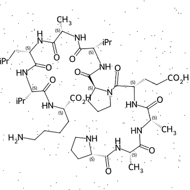 CC(C)C[C@H](NC(=O)[C@H](C)NC(=O)[C@@H](NC(=O)[C@@H]1CCCN1C(=O)[C@H](CCC(=O)O)NC(=O)[C@H](C)NC(=O)[C@H](C)NC(=O)[C@@H]1CCCN1)C(C)C)C(=O)N[C@H](C(=O)N[C@@H](CCCCN)C(=O)O)C(C)C